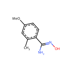 COc1ccc(/C(N)=N/O)c(C)c1